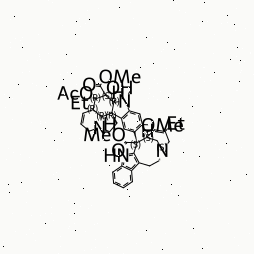 CCC1=C[C@@H]2C[N@@](CCc3c([nH]c4ccccc34)[C@@]2(C(=O)OC)c2cc3c(cc2OC)N(C)[C@H]2[C@@](O)(C(=O)OC)[C@H](OC(C)=O)[C@]4(CC)C=CCN5CC[C@]32[C@@H]54)C1